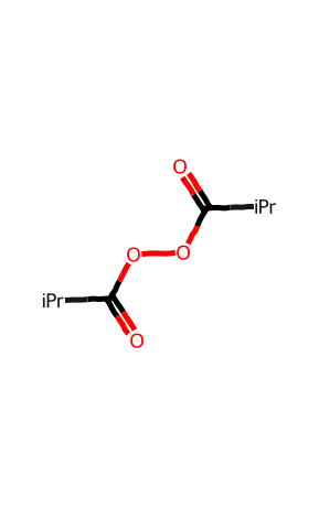 CC(C)C(=O)OOC(=O)C(C)C